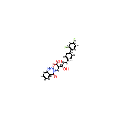 O=C(O)C(Cn1nnc2ccccc2c1=O)[C@H](O)CCc1ccc(-c2ccc(F)cc2F)cc1